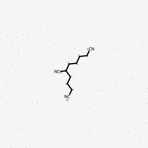 N#CCCCCC(C#N)CCCC#N